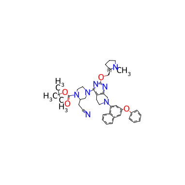 CN1CCC[C@@H]1COc1nc2c(c(N3CCN(C(=O)OC(C)(C)C)C(CC#N)C3)n1)CCN(c1cc(Oc3ccccc3)cc3ccccc13)C2